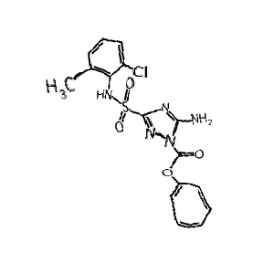 Cc1cccc(Cl)c1NS(=O)(=O)c1nc(N)n(C(=O)Oc2ccccc2)n1